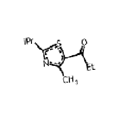 CCC(=O)c1sc(C(C)C)nc1C